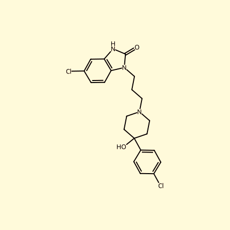 O=c1[nH]c2cc(Cl)ccc2n1CCCN1CCC(O)(c2ccc(Cl)cc2)CC1